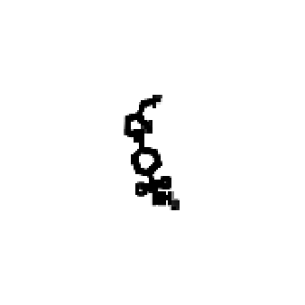 NS(=O)(=O)c1ccc(-n2ccc(CF)n2)cc1